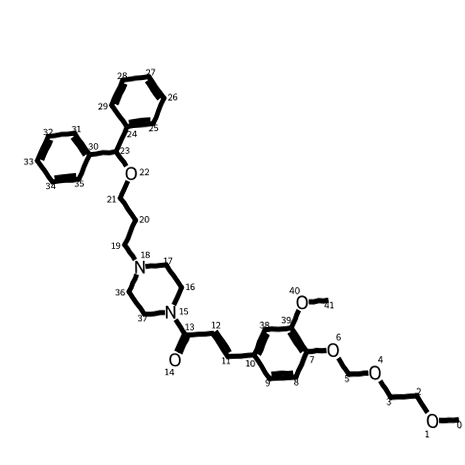 COCCOCOc1ccc(C=CC(=O)N2CCN(CCCOC(c3ccccc3)c3ccccc3)CC2)cc1OC